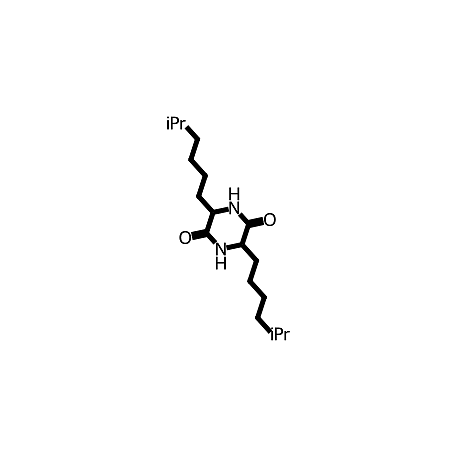 CC(C)CCCCC1NC(=O)C(CCCCC(C)C)NC1=O